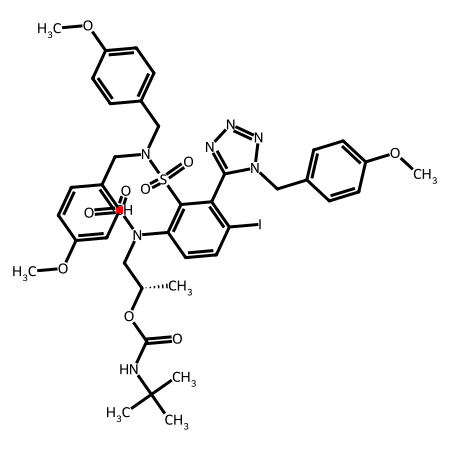 COc1ccc(CN(Cc2ccc(OC)cc2)S(=O)(=O)c2c(N(C[C@H](C)OC(=O)NC(C)(C)C)[SH](=O)=O)ccc(I)c2-c2nnnn2Cc2ccc(OC)cc2)cc1